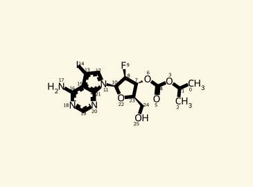 CC(C)OC(=O)O[C@H]1[C@H](F)[C@H](n2cc(I)c3c(N)ncnc32)O[C@@H]1CO